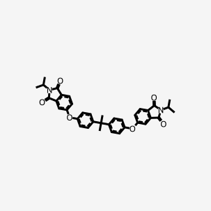 CC(C)N1C(=O)c2ccc(Oc3ccc(C(C)(C)c4ccc(Oc5ccc6c(c5)C(=O)N(C(C)C)C6=O)cc4)cc3)cc2C1=O